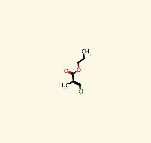 CCCOC(=O)C(C)=CCl